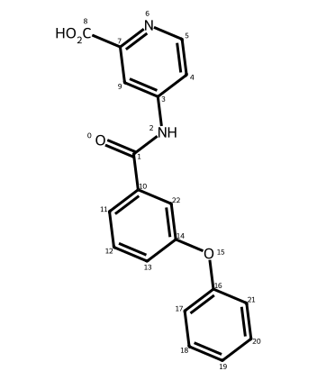 O=C(Nc1ccnc(C(=O)O)c1)c1cccc(Oc2ccccc2)c1